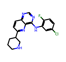 Fc1ccc(Cl)cc1Nc1ncnc2ccc(C3CCCNC3)nc12